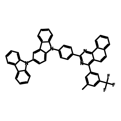 Cc1cc(-c2nc(-c3ccc(-n4c5ccccc5c5cc(-n6c7ccccc7c7ccccc76)ccc54)cc3)nc3c2ccc2ccccc23)cc(C(F)(F)F)c1